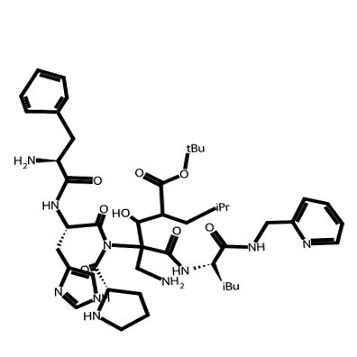 CC[C@H](C)[C@H](NC(=O)C(CN)(C(O)C(CC(C)C)C(=O)OC(C)(C)C)N(C(=O)[C@@H]1CCCN1)C(=O)[C@H](Cc1c[nH]cn1)NC(=O)[C@@H](N)Cc1ccccc1)C(=O)NCc1ccccn1